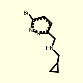 Brc1ccc(CNCC2CC2)nn1